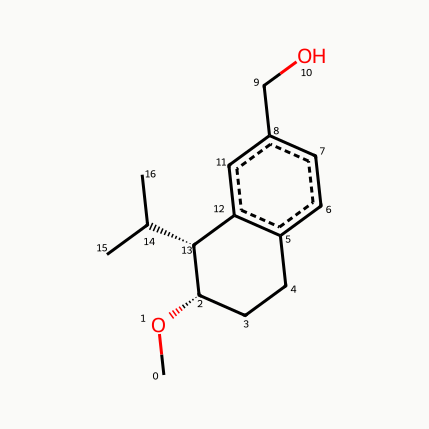 CO[C@H]1CCc2ccc(CO)cc2[C@H]1C(C)C